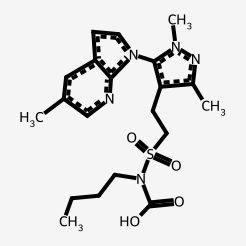 CCCCN(C(=O)O)S(=O)(=O)CCc1c(C)nn(C)c1-n1ccc2cc(C)cnc21